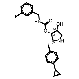 O=C(NCc1cccc(F)c1)O[C@@H]1[C@@H](O)CN[C@@H]1Cc1ccc(C2CC2)cc1